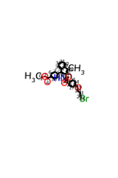 CCOC(=O)c1ccc(-c2c(NS(=O)(=O)c3ccc(OCCCBr)cc3)cc(C)c3ccccc23)cc1